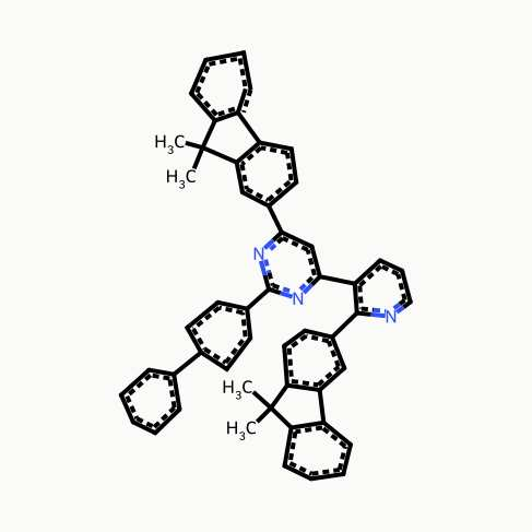 CC1(C)c2ccccc2-c2cc(-c3ncccc3-c3cc(-c4ccc5c(c4)C(C)(C)c4ccccc4-5)nc(-c4ccc(-c5ccccc5)cc4)n3)ccc21